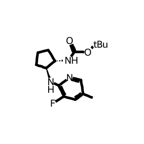 Cc1cnc(N[C@H]2CCC[C@@H]2NC(=O)OC(C)(C)C)c(F)c1